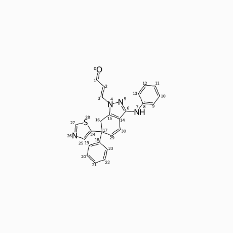 O=CC=Cn1nc(Nc2ccccc2)c2c1CC(c1ccccc1)(c1cncs1)C=C2